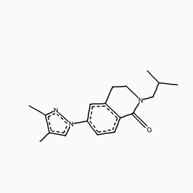 Cc1cn(-c2ccc3c(c2)CCN(CC(C)C)C3=O)nc1C